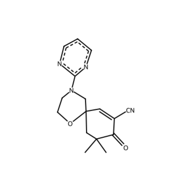 CC1(C)CC2(C=C(C#N)C1=O)CN(c1ncccn1)CCO2